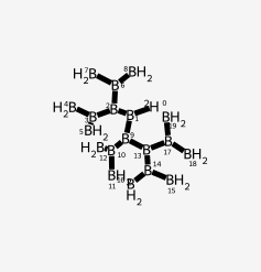 [2H]B(B(B(B)B)B(B)B)B(B(B)B)B(B(B)B)B(B)B